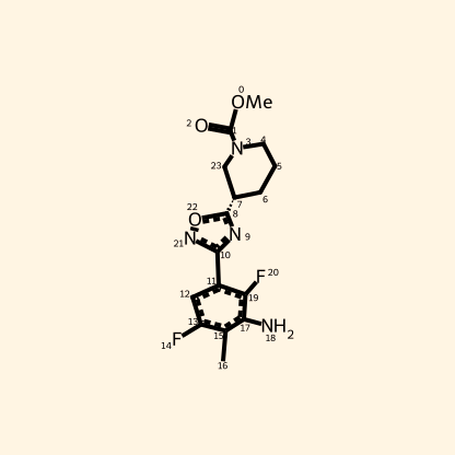 COC(=O)N1CCC[C@H](c2nc(-c3cc(F)c(C)c(N)c3F)no2)C1